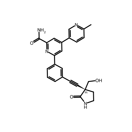 Cc1ccc(-c2cc(C(N)=O)nc(-c3cccc(C#C[C@@]4(CO)CCNC4=O)c3)c2)cn1